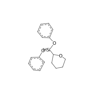 c1ccc(O[SiH](Oc2ccccc2)C2CCCCO2)cc1